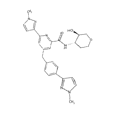 Cn1ccc(-c2ccc(Cc3cc(C(=O)N[C@H]4CCOC[C@@H]4O)nc(-c4ccn(C)n4)c3)cc2)n1